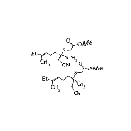 CCC(C)=CCCC(C)(CC#N)SCC(=O)OC.CCC(C)=CCCC(C)(CC#N)SCC(=O)OC